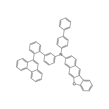 c1ccc(-c2ccc(N(c3cccc(-c4ccccc4-c4cc5ccccc5c5ccccc45)c3)c3ccc4cc5c(cc4c3)oc3ccccc35)cc2)cc1